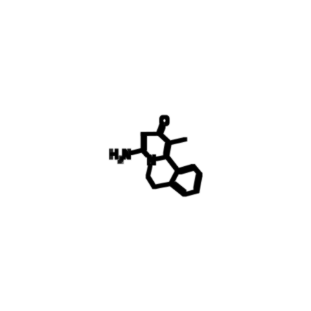 Cc1c2n(c(N)cc1=O)CCc1ccccc1-2